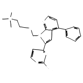 C[Si](C)(C)CCOCn1c(-c2ccnc(N)n2)cc2c(-c3ccccc3)ccnc21